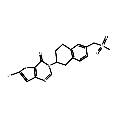 CS(=O)(=O)Cc1ccc2c(c1)CCC(n1cnc3cc(Br)sc3c1=O)C2